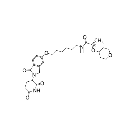 C[C@@H](OC1CCOCC1)C(=O)NCCCCCCOc1ccc2c(c1)CN(C1CCC(=O)NC1=O)C2=O